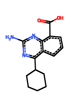 Nc1nc(C2CCCCC2)c2cccc(C(=O)O)c2n1